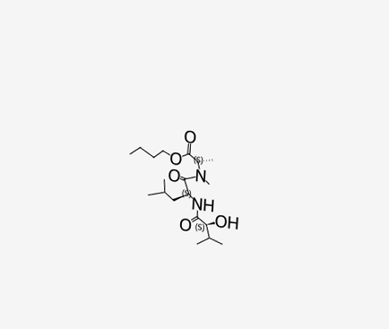 CCCCOC(=O)[C@H](C)N(C)C(=O)[C@H](CC(C)C)NC(=O)[C@@H](O)C(C)C